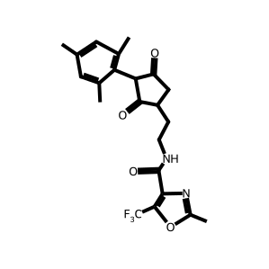 Cc1cc(C)c(C2C(=O)CC(CCNC(=O)c3nc(C)oc3C(F)(F)F)C2=O)c(C)c1